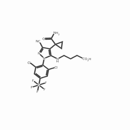 N#Cc1nn(-c2c(Cl)cc(S(F)(F)(F)(F)F)cc2Cl)c(NCCCC(=O)O)c1C1(C(N)=O)CC1